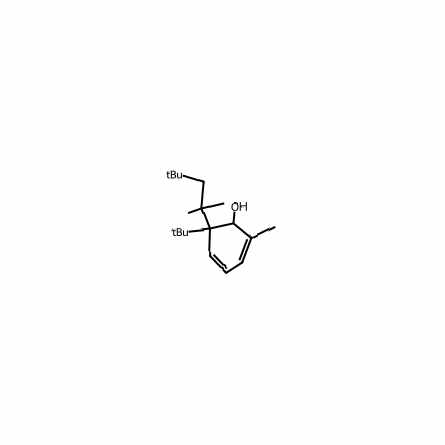 CC1=CC=CC(C(C)(C)C)(C(C)(C)CC(C)(C)C)C1O